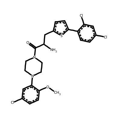 COc1ccc(Cl)cc1N1CCN(C(=O)C(N)Cc2ccc(-c3ccc(Cl)cc3Cl)s2)CC1